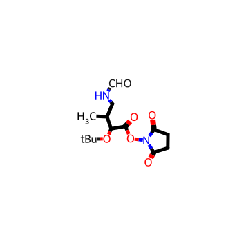 CC(CNC=O)C(OC(C)(C)C)C(=O)ON1C(=O)CCC1=O